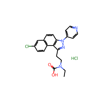 CCN(CCc1nn(-c2ccncc2)c2ccc3cc(Cl)ccc3c12)C(=O)O.Cl